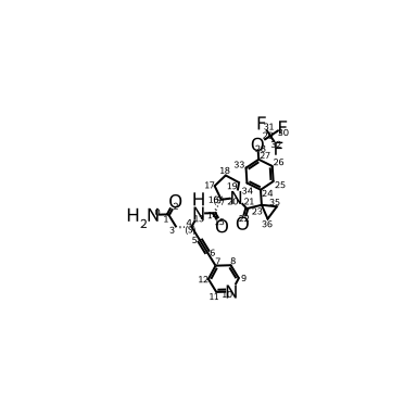 NC(=O)C[C@@H](C#Cc1ccncc1)NC(=O)[C@@H]1CCCN1C(=O)C1(c2ccc(OC(F)(F)F)cc2)CC1